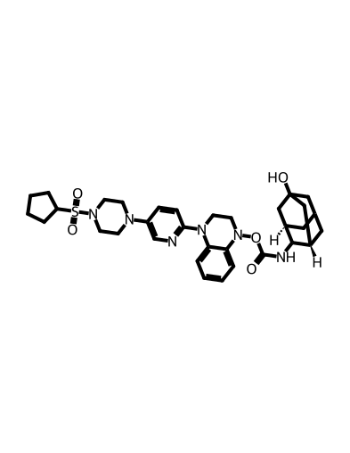 O=C(NC1[C@@H]2CC3C[C@H]1CC(O)(C3)C2)ON1CCN(c2ccc(N3CCN(S(=O)(=O)C4CCCC4)CC3)cn2)c2ccccc21